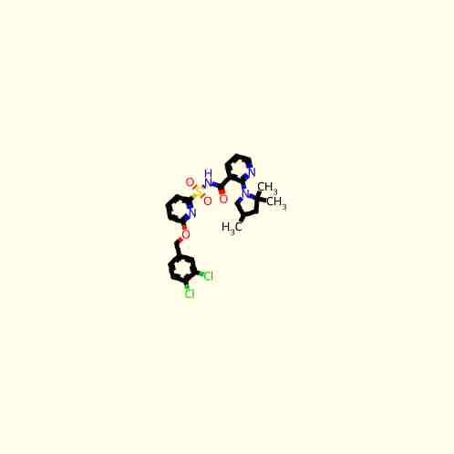 CC1CN(c2ncccc2C(=O)NS(=O)(=O)c2cccc(OCc3ccc(Cl)c(Cl)c3)n2)C(C)(C)C1